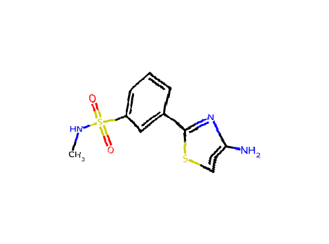 CNS(=O)(=O)c1cccc(-c2nc(N)cs2)c1